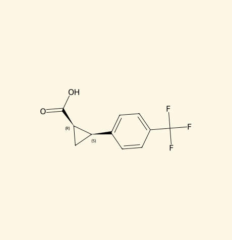 O=C(O)[C@@H]1C[C@@H]1c1ccc(C(F)(F)F)cc1